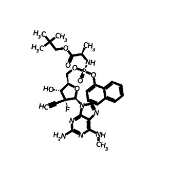 C#C[C@@]1(F)[C@H](O)[C@@H](CO[P@@](=O)(N[C@H](C)C(=O)OCC(C)(C)C)Oc2cccc3ccccc23)O[C@H]1n1cnc2c(NC)nc(N)nc21